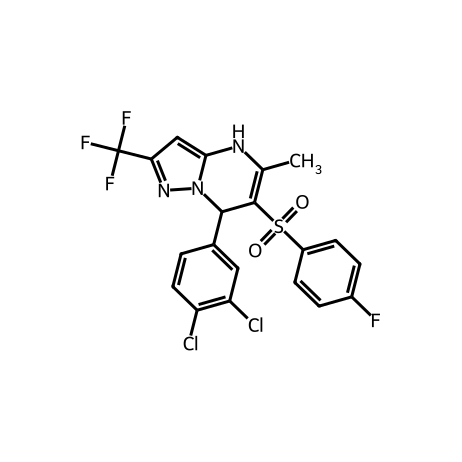 CC1=C(S(=O)(=O)c2ccc(F)cc2)C(c2ccc(Cl)c(Cl)c2)n2nc(C(F)(F)F)cc2N1